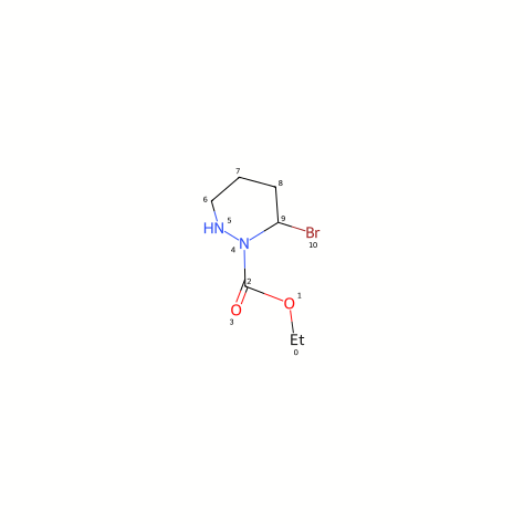 CCOC(=O)N1NCCCC1Br